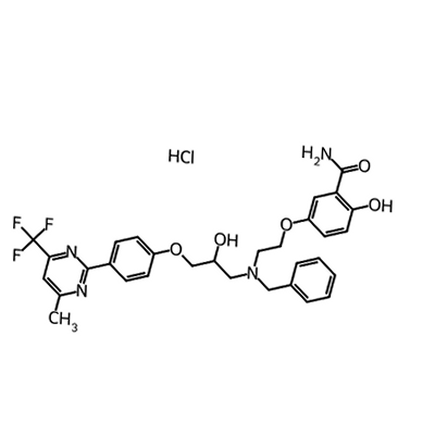 Cc1cc(C(F)(F)F)nc(-c2ccc(OCC(O)CN(CCOc3ccc(O)c(C(N)=O)c3)Cc3ccccc3)cc2)n1.Cl